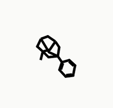 CC12CC3CC(C1)CC(c1ccccc1)(C3)C2